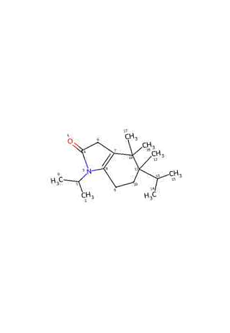 CC(C)N1C(=O)CC2=C1CCC(C)(C(C)C)C2(C)C